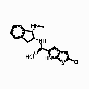 CN[C@H]1c2ccccc2C[C@H]1NC(=O)c1cc2cc(Cl)sc2[nH]1.Cl